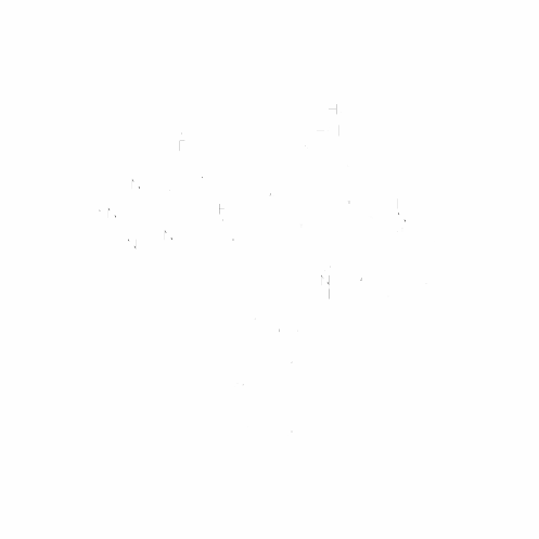 Cl.Cl.FC(F)(F)c1nnnn1-c1ccc(OC2CCCC2)c(CN[C@H]2CCCN[C@H]2c2ccccc2)c1